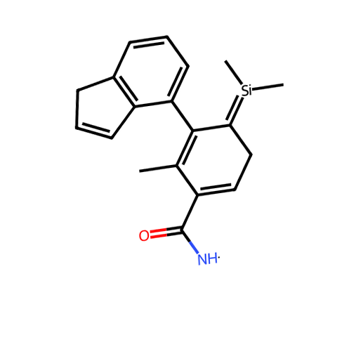 CC1=C(c2cccc3c2C=CC3)C(=[Si](C)C)CC=C1C([NH])=O